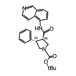 CC(C)(C)OC(=O)N1C[C@H](C(=O)Nc2cccc3cnccc23)[C@@H](c2ccccc2)C1